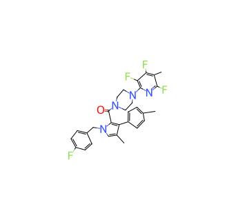 Cc1ccc(-c2c(C)cn(Cc3ccc(F)cc3)c2C(=O)N2CCN(c3nc(F)c(C)c(F)c3F)CC2)cc1